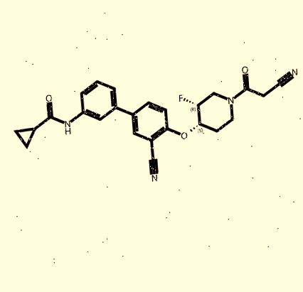 N#CCC(=O)N1CC[C@H](Oc2ccc(-c3cccc(NC(=O)C4CC4)c3)cc2C#N)[C@H](F)C1